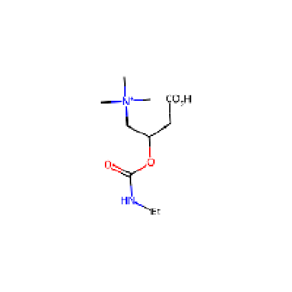 CCNC(=O)OC(CC(=O)O)C[N+](C)(C)C